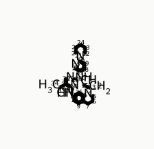 C=CC(=C)N1CCCc2ccc(Nc3nc(Nc4ccc(N5CCCCC5)nc4)ncc3C(=C)C)cc21